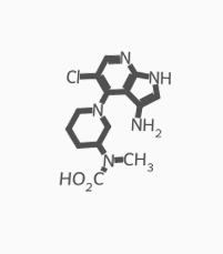 CN(C(=O)O)C1CCCN(c2c(Cl)cnc3[nH]cc(N)c23)C1